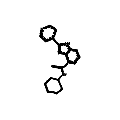 O=C(NC1CCCCC1)c1cccc2[nH]c(-c3ccncc3)nc12